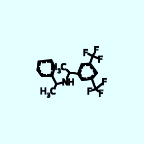 CC(NC(C)c1cc(C(F)(F)F)cc(C(F)(F)F)c1)c1ccccc1